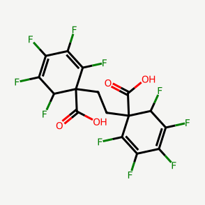 O=C(O)C1(CCC2(C(=O)O)C(F)=C(F)C(F)=C(F)C2F)C(F)=C(F)C(F)=C(F)C1F